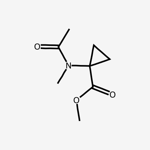 COC(=O)C1(N(C)C(C)=O)CC1